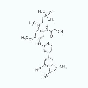 C=CC(=O)Nc1cc(Nc2nccc(-c3cc(C#N)c4c(c3)c(C)cn4C)n2)c(OC)cc1N(C)CC[N+](C)(C)[O-]